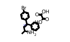 CC(N)/C=C(\c1ccccc1)c1ccc(Br)cc1.O=C(O)C(=O)O